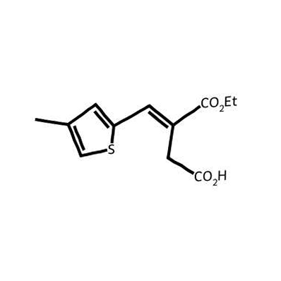 CCOC(=O)/C(=C/c1cc(C)cs1)CC(=O)O